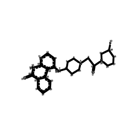 O=C(CN1CCC(Nc2ccnc3[nH]c(=O)c4ccccc4c23)CC1)N1CCCC(F)C1